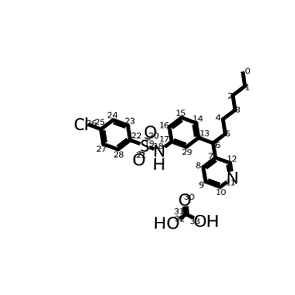 CCCCCCC(c1cccnc1)c1cccc(NS(=O)(=O)c2ccc(Cl)cc2)c1.O=C(O)O